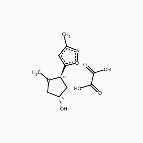 Cc1cc([C@H]2C[C@H](O)CN2C)on1.O=C(O)C(=O)O